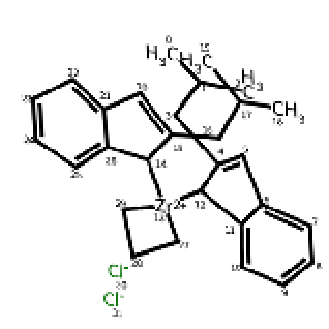 CC(C)CC1=Cc2ccccc2[CH]1[Zr+2]1([CH]2C(CC(C)C)=Cc3ccccc32)[CH2]C[CH2]1.[Cl-].[Cl-]